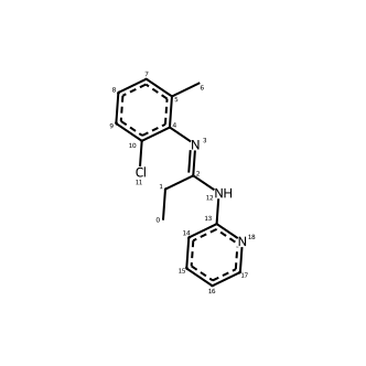 CC/C(=N\c1c(C)cccc1Cl)Nc1ccccn1